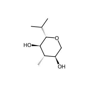 CC(C)[C@@H]1OC[C@@H](O)[C@H](C)[C@H]1O